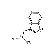 N[C@H](C=O)Cc1c[nH]c2ccccc12